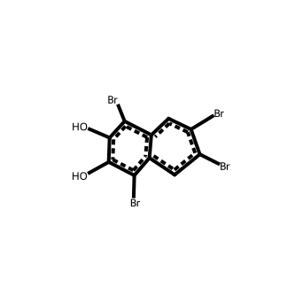 Oc1c(O)c(Br)c2cc(Br)c(Br)cc2c1Br